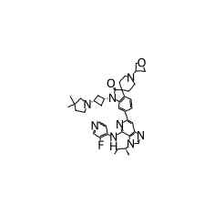 CC[C@H](C)n1cnc2cc(-c3ccc4c(c3)N([C@H]3C[C@@H](N5CCC(C)(C)C5)C3)C(=O)C43CCN(C4COC4)CC3)nc(Nc3ccncc3F)c21